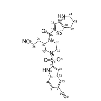 C#Cc1ccc2[nH]c(S(=O)(=O)N3CCN(C(=O)c4cc5c(s4)CCCN5)C(CCC#N)C3)cc2c1